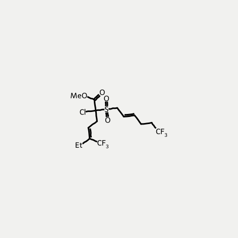 CCC(=CCC(Cl)(C(=O)OC)S(=O)(=O)CC=CCCC(F)(F)F)C(F)(F)F